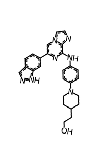 OCCC1CCN(c2ccc(Nc3nc(-c4ccc5cn[nH]c5c4)cn4ccnc34)cc2)CC1